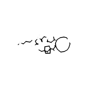 CCC12CCC(C(O)C3(N[C@H](C(=O)N[C@@H](C)C(=O)N[C@@H](CCCCNC)C(=O)O)C(C)C)CCCCCCCCCCCC3)(CC1)C2